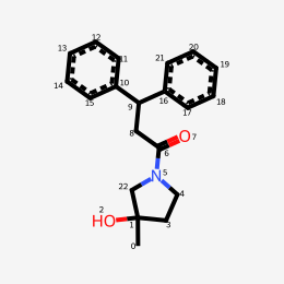 CC1(O)CCN(C(=O)CC(c2ccccc2)c2ccccc2)C1